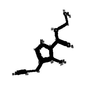 CCOC(=O)c1[nH]cc(CC#N)c1N